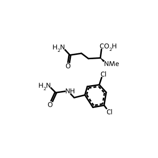 CN[C@@H](CCC(N)=O)C(=O)O.NC(=O)NCc1cc(Cl)cc(Cl)c1